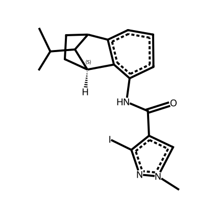 CC(C)C1C2CC[C@@H]1c1c(NC(=O)c3cn(C)nc3I)cccc12